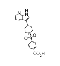 O=C(O)c1ccc(S(=O)(=O)N2CCC(c3c[nH]c4ncccc34)CC2)cc1